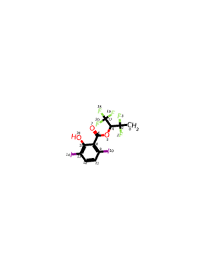 CC(F)(F)C(OC(=O)c1c(I)ccc(I)c1O)C(F)(F)F